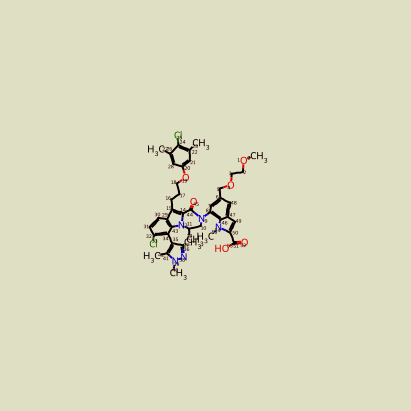 COCCOCc1cc(N2CC(C)n3c(c(CCCOc4cc(C)c(Cl)c(C)c4)c4ccc(Cl)c(-c5c(C)nn(C)c5C)c43)C2=O)c2c(c1)cc(C(=O)O)n2C